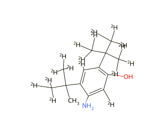 [2H]c1c(N)c(C(C)(C([2H])([2H])[2H])C([2H])([2H])[2H])c([2H])c(C(C([2H])([2H])[2H])(C([2H])([2H])[2H])C([2H])([2H])[2H])c1O